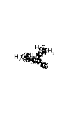 CN(C)S(=O)(=O)n1cnc(-c2cc(C3=CCOCC3)cn3cc(CO[Si](C)(C)C(C)(C)C)nc23)c1